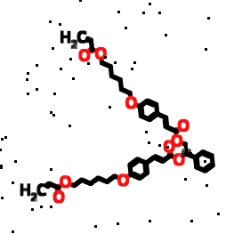 C=CC(=O)OCCCCCCOc1ccc(C=CC(=O)OC[C@H](OC(=O)C=Cc2ccc(OCCCCCCOC(=O)C=C)cc2)c2ccccc2)cc1